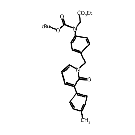 CCOC(=O)CN(C(=O)OC(C)(C)C)c1ccc(Cn2cccc(-c3ccc(C)cc3)c2=O)cc1